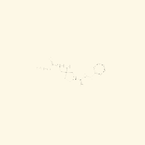 CC(C)(C)OC(=O)NCC1(O)CCN(C(=O)OCc2ccccc2)C1